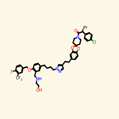 CC(C)C(C(=O)N1CCC2(CC1)Oc1ccc(CCc3cnn(CCCCc4ccc(OCc5ccc(F)c(C(F)(F)F)c5)c(CNCCO)c4)c3)cc1O2)c1ccc(Cl)cc1